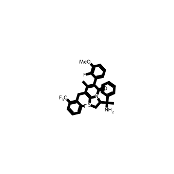 COc1cccc(-c2c(C)c(Cc3c(F)cccc3C(F)(F)F)c3n(c2=O)C(C(C)(N)c2ccccc2)CS3)c1F